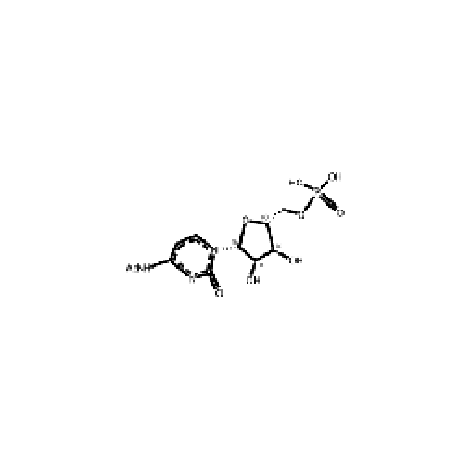 CC(=O)Nc1ccn([C@@H]2O[C@H](COP(=O)(O)O)[C@@H](O)[C@H]2O)c(=O)n1